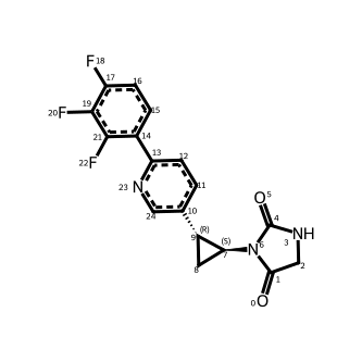 O=C1CNC(=O)N1[C@H]1C[C@@H]1c1ccc(-c2ccc(F)c(F)c2F)nc1